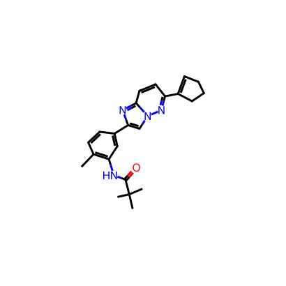 Cc1ccc(-c2cn3nc(C4=CCCC4)ccc3n2)cc1NC(=O)C(C)(C)C